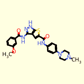 COc1cccc(C(=O)Nc2n[nH]c3sc(C(=O)Nc4ccc(N5CCN(C)CC5)cc4)cc23)c1